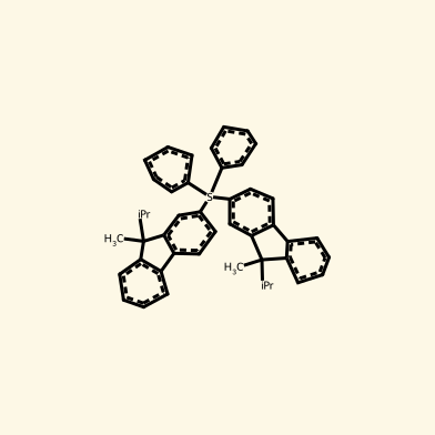 CC(C)C1(C)c2ccccc2-c2ccc(S(c3ccccc3)(c3ccccc3)c3ccc4c(c3)C(C)(C(C)C)c3ccccc3-4)cc21